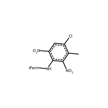 CCCC(C)Nc1c([N+](=O)[O-])cc(Cl)c(C)c1[N+](=O)[O-]